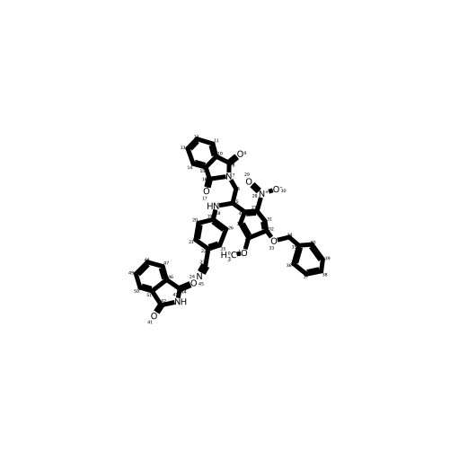 COc1cc(C(CN2C(=O)c3ccccc3C2=O)Nc2ccc(C#N)cc2)c([N+](=O)[O-])cc1OCc1ccccc1.O=C1NC(=O)c2ccccc21